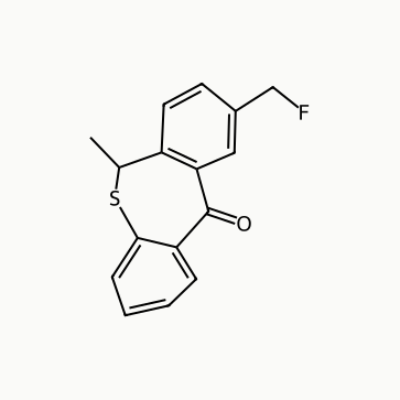 CC1Sc2ccccc2C(=O)c2cc(CF)ccc21